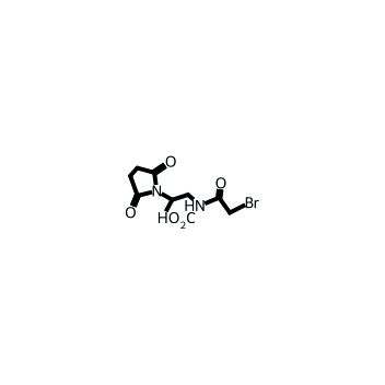 O=C(CBr)NCC(C(=O)O)N1C(=O)CCC1=O